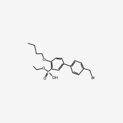 CCCCOc1ccc(-c2ccc(CBr)cc2)cc1P(=O)(O)OCC